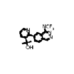 CC(C)(O)c1cccnc1-c1ccc2cnnc(NC(F)(F)F)c2c1